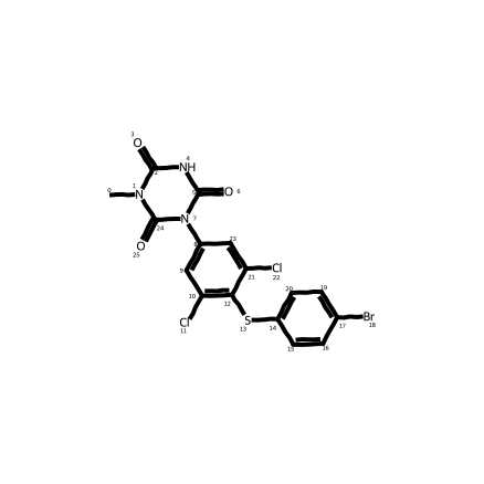 Cn1c(=O)[nH]c(=O)n(-c2cc(Cl)c(Sc3ccc(Br)cc3)c(Cl)c2)c1=O